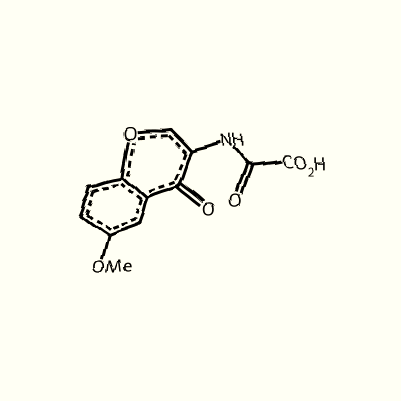 COc1ccc2occ(NC(=O)C(=O)O)c(=O)c2c1